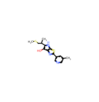 CSCC(C)c1[nH]c2sc(-c3cncc(C)c3)nc2c1O